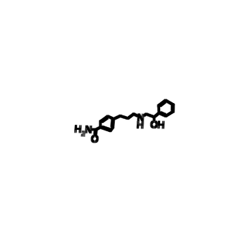 NC(=O)c1ccc(CCCNCC(O)c2ccccc2)cc1